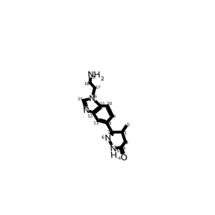 CC1CC(=O)NN=C1c1ccc2c(c1)ncn2CCN